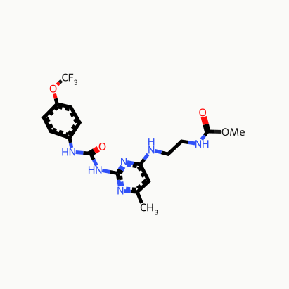 COC(=O)NCCNc1cc(C)nc(NC(=O)Nc2ccc(OC(F)(F)F)cc2)n1